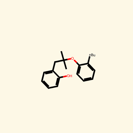 CCCCc1ccccc1OC(C)(C)Cc1ccccc1O